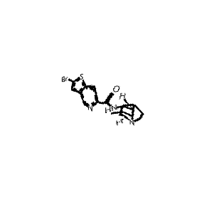 C[C@H]1[C@H](NC(=O)c2cc3sc(Br)cc3cn2)C2CCN1CC2